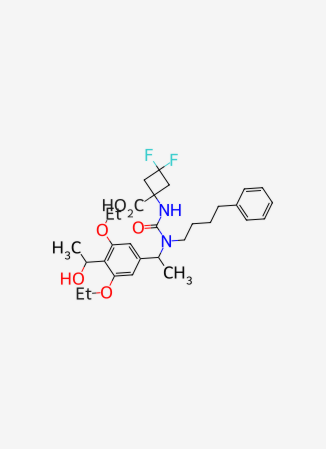 CCOc1cc(C(C)N(CCCCc2ccccc2)C(=O)NC2(C(=O)O)CC(F)(F)C2)cc(OCC)c1C(C)O